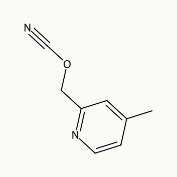 Cc1ccnc(COC#N)c1